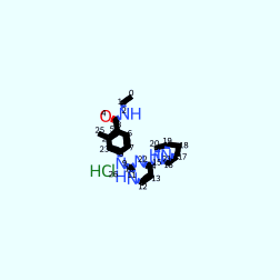 CCNC(=O)c1ccc(Nc2nccc(N3CC4CC(C3)N4)n2)cc1C.Cl